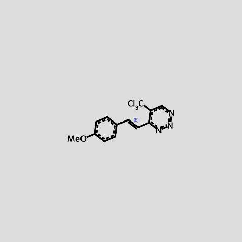 COc1ccc(/C=C/c2nnncc2C(Cl)(Cl)Cl)cc1